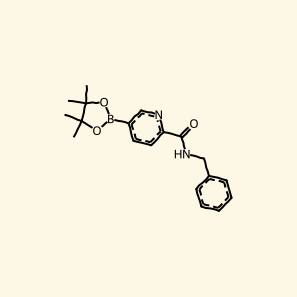 CC1(C)OB(c2ccc(C(=O)NCc3ccccc3)nc2)OC1(C)C